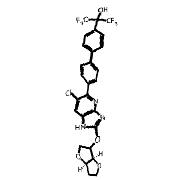 OC(c1ccc(-c2ccc(-c3nc4nc(OC5CO[C@@H]6CCO[C@H]56)[nH]c4cc3Cl)cc2)cc1)(C(F)(F)F)C(F)(F)F